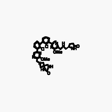 COc1nc(-c2cccc(-c3cccc(-c4cnc(CN5CC6(CNC(=O)N6)C5)c(OC)n4)c3Cl)c2Cl)cnc1CNC[C@H]1CCC(=O)N1